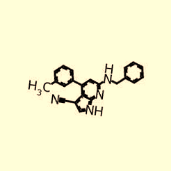 Cc1cccc(-c2cc(NCc3ccccc3)nc3[nH]cc(C#N)c23)c1